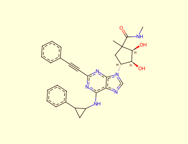 CNC(=O)C1(C)C[C@@H](n2cnc3c(NC4CC4c4ccccc4)nc(C#Cc4ccccc4)nc32)[C@H](O)[C@@H]1O